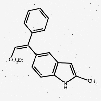 CCOC(=O)/C=C(/c1ccccc1)c1ccc2[nH]c(C)cc2c1